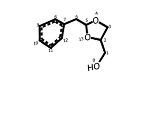 OCC1COC(Cc2ccccc2)O1